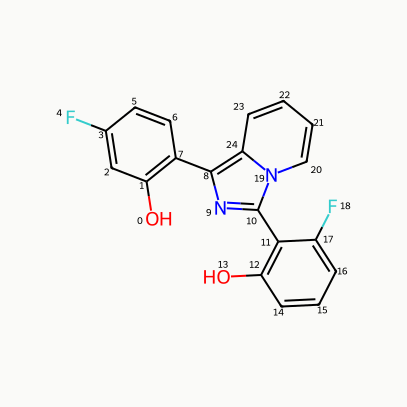 Oc1cc(F)ccc1-c1nc(-c2c(O)cccc2F)n2ccccc12